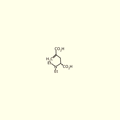 C=C(C[C@@H](C(=O)O)N(CC)CC)C(=O)O